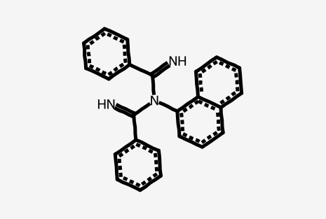 N=C(c1ccccc1)N(C(=N)c1ccccc1)c1cccc2ccccc12